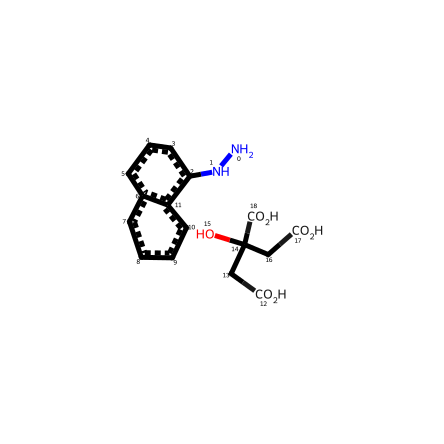 NNc1cccc2ccccc12.O=C(O)CC(O)(CC(=O)O)C(=O)O